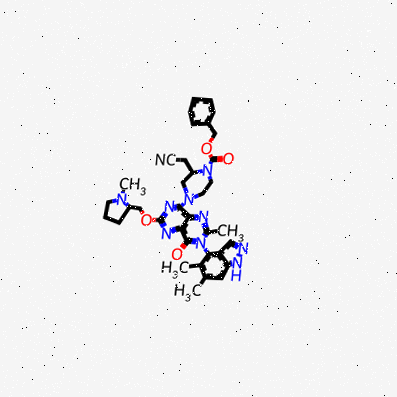 Cc1cc2[nH]ncc2c(-n2c(C)nc3c(N4CCN(C(=O)OCc5ccccc5)C(CC#N)C4)nc(OCC4CCCN4C)nc3c2=O)c1C